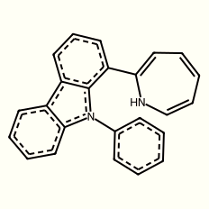 C1=CC=C(c2cccc3c4ccccc4n(-c4ccccc4)c23)NC=C1